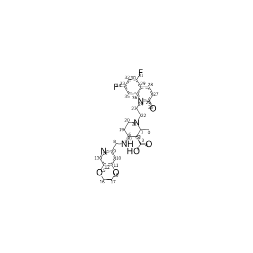 CC1[C@@H](C(=O)O)[C@H](NCc2cc3c(cn2)OCCO3)CCN1CCn1c(=O)ccc2c(F)cc(F)cc21